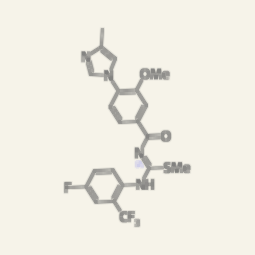 COc1cc(C(=O)/N=C(/Nc2ccc(F)cc2C(F)(F)F)SC)ccc1-n1cnc(C)c1